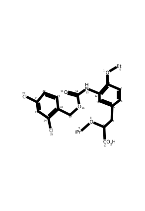 CCOc1ccc(CC(OC(C)C)C(=O)O)cc1NC(=O)OCc1ccc(Cl)cc1Cl